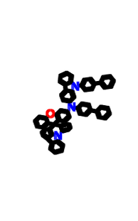 c1ccc(-c2ccc(N(c3ccc4c(c3)Oc3ccccc3C43c4ccccc4-n4c5ccccc5c5cccc3c54)c3ccc4c5ccccc5n(-c5ccc(-c6ccccc6)cc5)c4c3)cc2)cc1